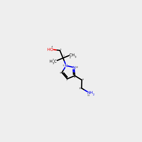 CC(C)(CO)n1ccc(CCN)n1